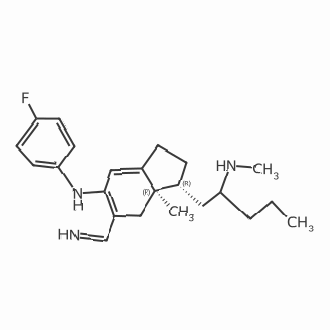 CCCC(C[C@H]1CCC2=CC(Nc3ccc(F)cc3)=C(C=N)C[C@@]21C)NC